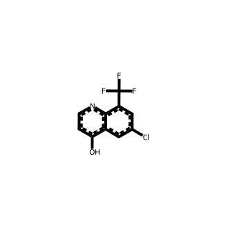 Oc1ccnc2c(C(F)(F)F)cc(Cl)cc12